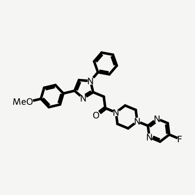 COc1ccc(-c2cn(-c3ccccc3)c(CC(=O)N3CCN(c4ncc(F)cn4)CC3)n2)cc1